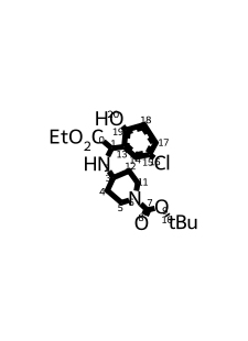 CCOC(=O)C(NC1CCN(C(=O)OC(C)(C)C)CC1)c1cc(Cl)ccc1O